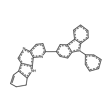 C1=Cc2c([nH]c3c2cnc2ccc(-c4ccc5c(c4)c4ccccc4n5-c4ccccc4)nc23)CC1